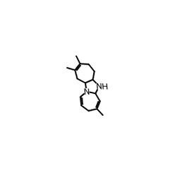 CC1=CC2NC3CCC(C)=C(C)CC3N2C=CC1